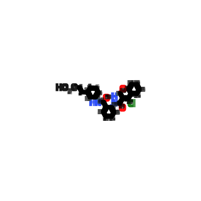 O=C(O)CCc1cccc(NC(=O)c2ccccc2NC(=O)C2=C(Cl)c3ccccc3OC2)c1